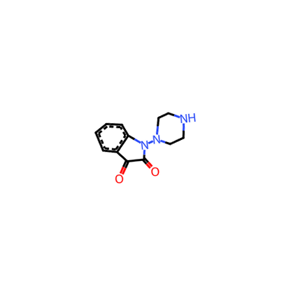 O=C1C(=O)N(N2CCNCC2)c2ccccc21